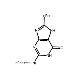 CCCCCNc1nc2nc(CCCCC)[nH]c2c(=O)[nH]1